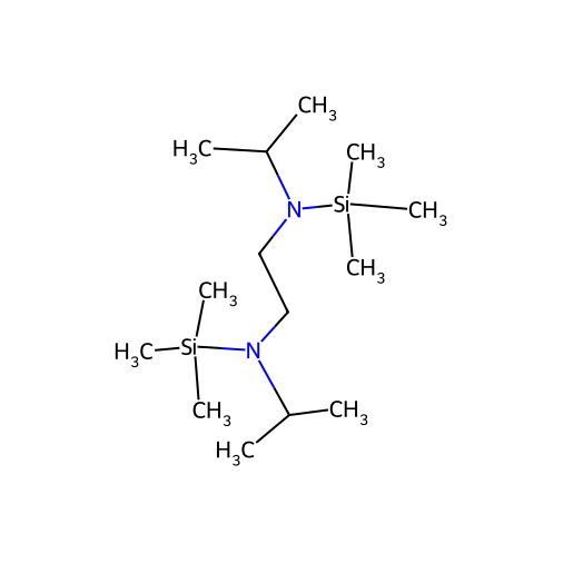 CC(C)N(CCN(C(C)C)[Si](C)(C)C)[Si](C)(C)C